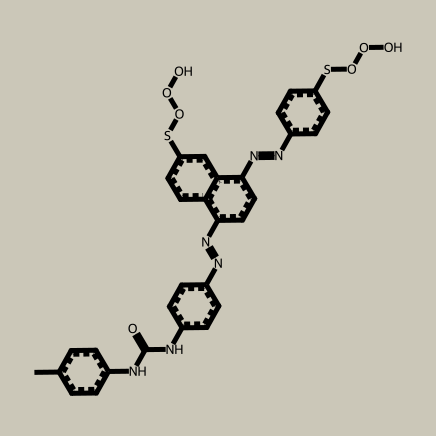 Cc1ccc(NC(=O)Nc2ccc(N=Nc3ccc(N=Nc4ccc(SOOO)cc4)c4cc(SOOO)ccc34)cc2)cc1